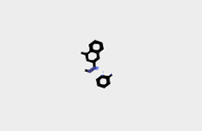 C/C=C(/Nc1ccccc1C)C1=Cc2ccccc2C(C)C1